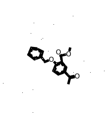 COC(=O)c1cc(C(C)=O)ccc1OCc1ccccc1